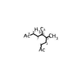 CC(=O)CCC(C)C(C)CCC(C)=O